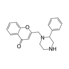 O=c1cc(CN2CCNCC2c2ccccc2)oc2ccccc12